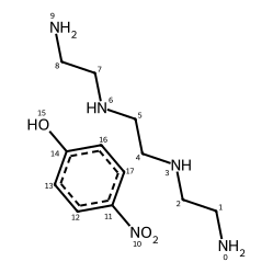 NCCNCCNCCN.O=[N+]([O-])c1ccc(O)cc1